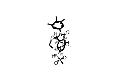 Cc1cc(N2C(=O)[C@H]3[C@H]4[C@@H]2OCC[C@@]42O[C@]3(C)C[C@H]2NS(C)(=O)=O)cc(C)c1C